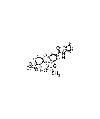 CCS(=O)(=O)c1ccc(Oc2cc(O[C@@H](C)CO)cc(C(=O)Nc3ccon3)c2)cc1